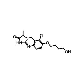 CC1C(=O)NC2=Nc3ccc(OCCCCO)c(Cl)c3CN21